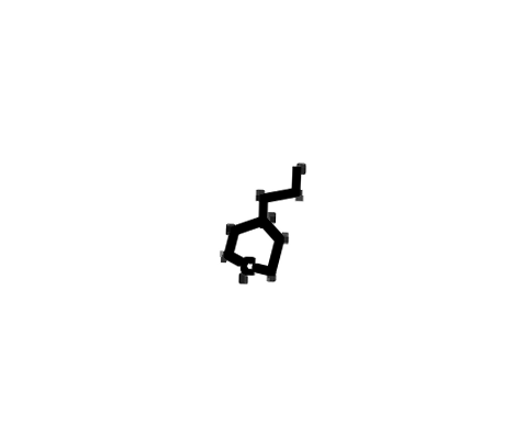 CCC[C]1CCCCC1